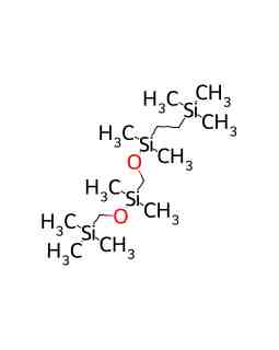 C[Si](C)(C)CC[Si](C)(C)OC[Si](C)(C)OC[Si](C)(C)C